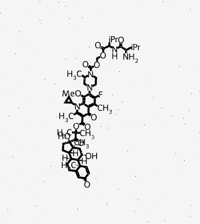 COc1c(N2CCN(C(=O)OCOC(=O)C(NC(=O)C(N)C(C)C)C(C)C)C(C)C2)c(F)c(C)c2c(=O)c(C(=O)OC(C)(C)C(=O)[C@@]3(O)CC[C@H]4[C@@H]5CCC6=CC(=O)C=C[C@]6(C)[C@H]5[C@@H](O)C[C@@]43C)c(C)n(C3CC3)c12